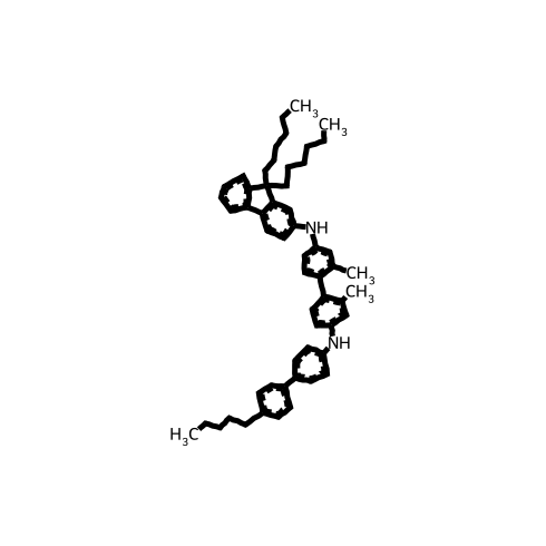 CCCCCCC1(CCCCCC)c2ccccc2-c2ccc(Nc3ccc(-c4ccc(Nc5ccc(-c6ccc(CCCCC)cc6)cc5)cc4C)c(C)c3)cc21